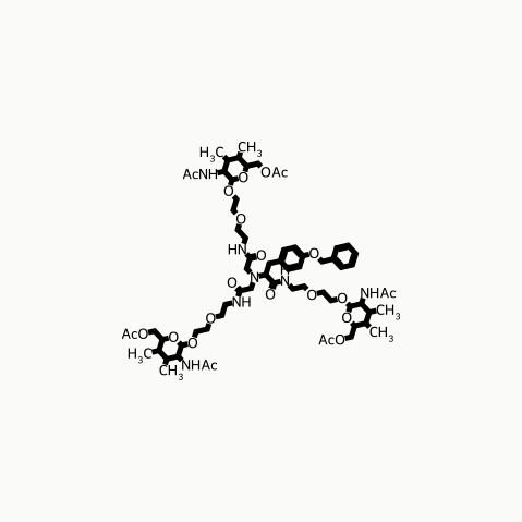 CC(=O)NC1C(OCCOCCNC(=O)CN(CC(=O)NCCOCCOC2OC(COC(C)=O)C(C)C(C)C2NC(C)=O)C(Cc2ccc(OCc3ccccc3)cc2)C(=O)NCCOCCOC2OC(COC(C)=O)C(C)C(C)C2NC(C)=O)OC(COC(C)=O)C(C)C1C